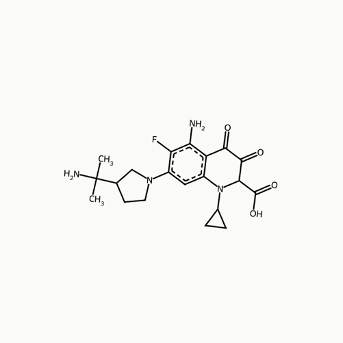 CC(C)(N)C1CCN(c2cc3c(c(N)c2F)C(=O)C(=O)C(C(=O)O)N3C2CC2)C1